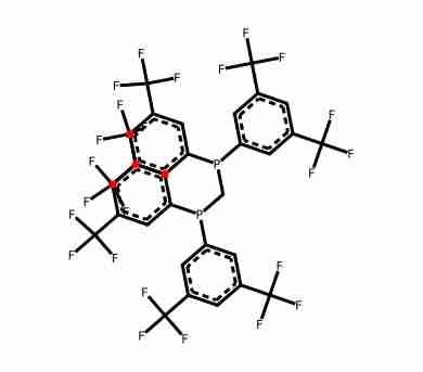 FC(F)(F)c1cc(P(CP(c2cc(C(F)(F)F)cc(C(F)(F)F)c2)c2cc(C(F)(F)F)cc(C(F)(F)F)c2)c2cc(C(F)(F)F)cc(C(F)(F)F)c2)cc(C(F)(F)F)c1